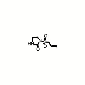 C=CCS(=O)(=O)N1[CH]CNC1=O